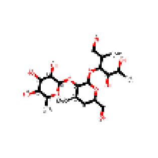 COC(CO)C(OC1OC(CO)C[C@@H](OC)C1OC1OC(C)C(O)C(O)C1O)C(O)C(C)O